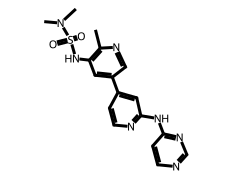 Cc1ncc(-c2ccnc(Nc3ccncn3)c2)cc1NS(=O)(=O)N(C)C